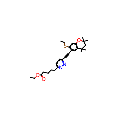 CCOC(=O)CCCCc1ccc(C#Cc2cc3c(cc2SCC)OC(C)(C)CC3(C)C)nn1